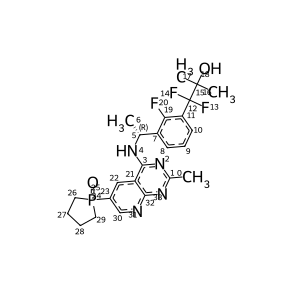 Cc1nc(N[C@H](C)c2cccc(C(F)(F)C(C)(C)O)c2F)c2cc(P3(=O)CCCC3)cnc2n1